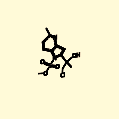 COS(=O)(=O)n1c(C(C)(O)CCl)cc2nc(C)ccc21